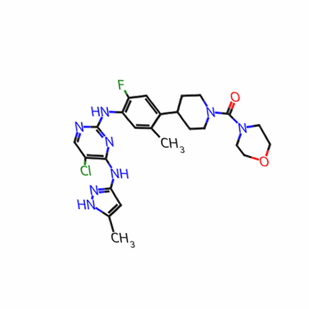 Cc1cc(Nc2nc(Nc3cc(C)c(C4CCN(C(=O)N5CCOCC5)CC4)cc3F)ncc2Cl)n[nH]1